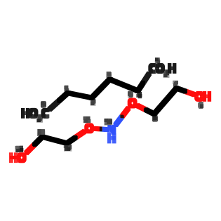 O=C(O)CCCCC(=O)O.OCCONOCCO